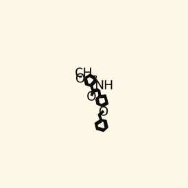 COc1ccc2[nH]c3c4ccc(OCc5ccccc5)cc4oc3c2c1